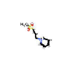 CS(=O)(=O)CCCC[n+]1ccccc1